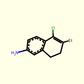 CCC1=C(Cl)c2ccc(N)cc2CC1